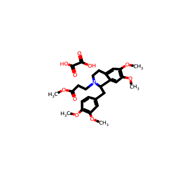 COC(=O)CCN1CCc2cc(OC)c(OC)cc2C1Cc1ccc(OC)c(OC)c1.O=C(O)C(=O)O